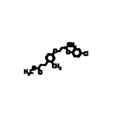 COC(=O)CCc1ccc(OCC[C@@H](C)Oc2ccc(Cl)cc2Br)cc1C